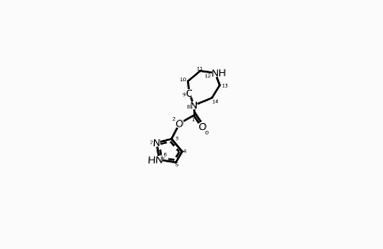 O=C(Oc1cc[nH]n1)N1CCCNCC1